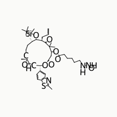 C=CC[C@H]1C(=O)C(C)(C)[C@@H](OC(=O)CCCCCNNOC)CC(=O)O[C@H](c2ccc3sc(C)nc3c2)C[C@@H]2O[C@]2(C)CCC[C@H](C)[C@@H]1O[Si](C)(C)C(C)(C)C